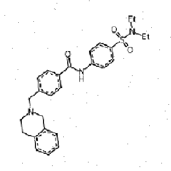 CCN(CC)S(=O)(=O)c1ccc(NC(=O)c2ccc(CN3CCc4ccccc4C3)cc2)cc1